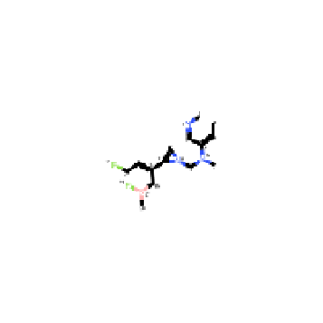 C/C=C(\C=N/C)N(C)CN1C=C1/C(=C/CF)CB(C)F